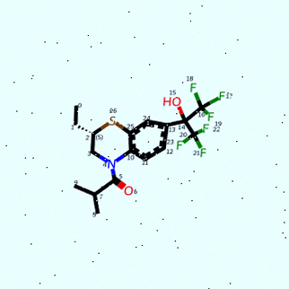 CC[C@H]1CN(C(=O)C(C)C)c2ccc(C(O)(C(F)(F)F)C(F)(F)F)cc2S1